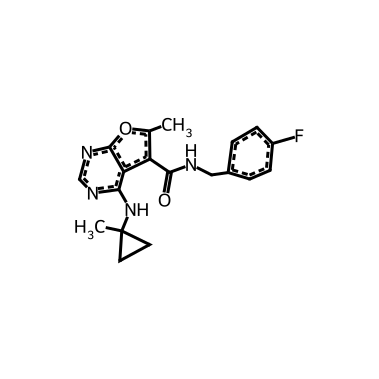 Cc1oc2ncnc(NC3(C)CC3)c2c1C(=O)NCc1ccc(F)cc1